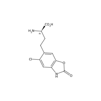 N[C@H](CCc1cc2oc(=O)[nH]c2cc1Cl)C(=O)O